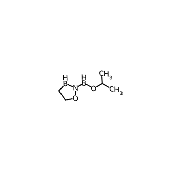 CC(C)OBN1BCCO1